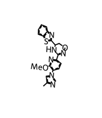 COc1nc(C2=NOCC(c3nc4ccccc4s3)N2)ccc1-n1cnc(C)c1